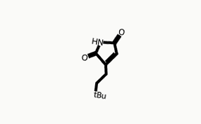 CC(C)(C)CCC1=CC(=O)NC1=O